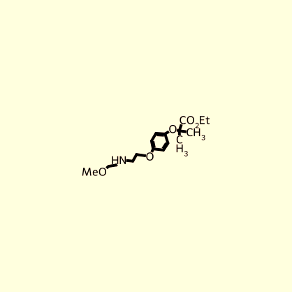 CCOC(=O)C(C)(C)Oc1ccc(OCCNCCOC)cc1